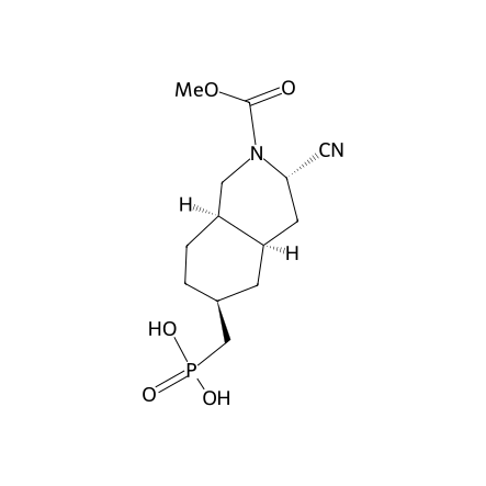 COC(=O)N1C[C@@H]2CC[C@H](CP(=O)(O)O)C[C@@H]2C[C@H]1C#N